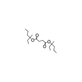 CCCC(C)(CC)OC(=O)CCC(=O)OC(C)(CC)CCC